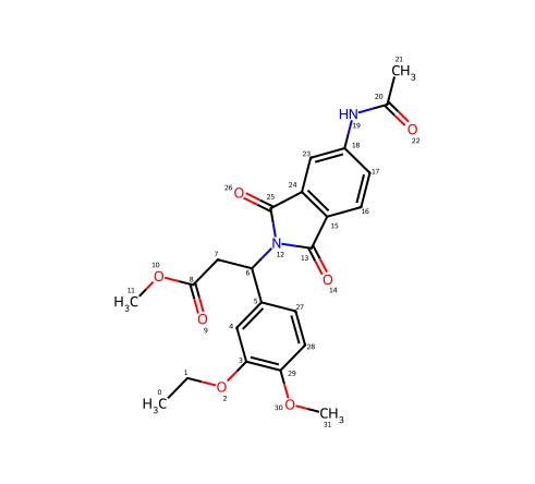 CCOc1cc(C(CC(=O)OC)N2C(=O)c3ccc(NC(C)=O)cc3C2=O)ccc1OC